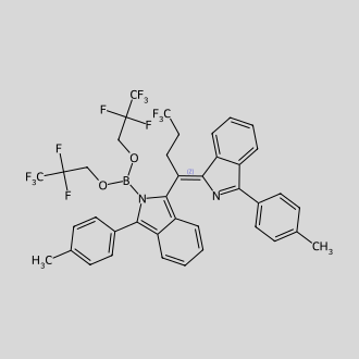 Cc1ccc(C2=N/C(=C(/CCC(F)(F)F)c3c4ccccc4c(-c4ccc(C)cc4)n3B(OCC(F)(F)C(F)(F)F)OCC(F)(F)C(F)(F)F)c3ccccc32)cc1